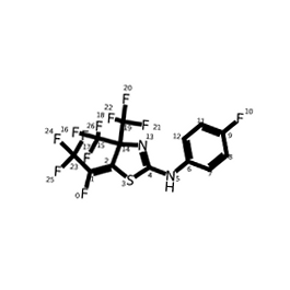 FC(=C1SC(Nc2ccc(F)cc2)=NC1(C(F)(F)F)C(F)(F)F)C(F)(F)F